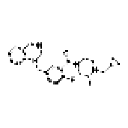 C[C@H]1CN(C(=O)c2cc(CN3CN=Cc4ccccc43)ccc2F)CCN1CC1CC1